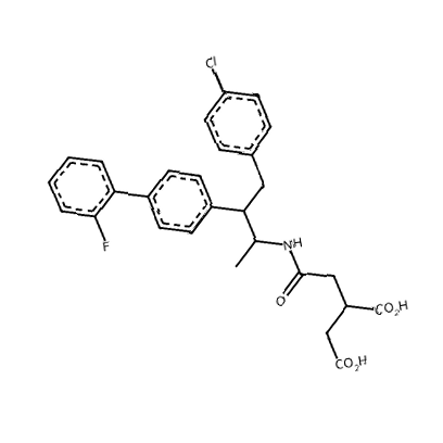 CC(NC(=O)CC(CC(=O)O)C(=O)O)C(Cc1ccc(Cl)cc1)c1ccc(-c2ccccc2F)cc1